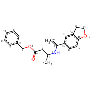 C=C(NC(C)CC(=O)OCc1ccccc1)c1ccc2c(c1)CCO2